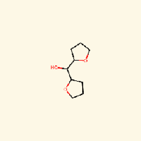 OC(C1CCCO1)C1CCCO1